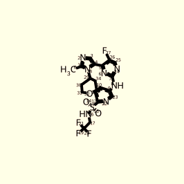 Cc1ncc(-c2nc(Nc3ccc(S(=O)(=O)NCC(F)(F)F)nc3)ncc2F)n1C1CCOCC1